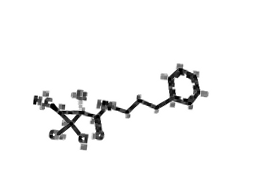 CC[C@@]1(C(=O)NCCCc2ccccc2)[C@H](C)C1(Cl)Cl